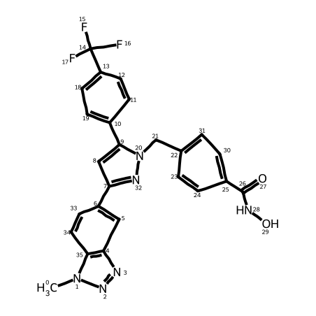 Cn1nnc2cc(-c3cc(-c4ccc(C(F)(F)F)cc4)n(Cc4ccc(C(=O)NO)cc4)n3)ccc21